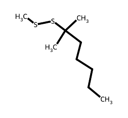 CCCCCC(C)(C)SSC